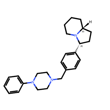 c1ccc(N2CCN(Cc3ccc([C@H]4CC[C@H]5CCCCN54)cc3)CC2)cc1